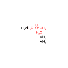 O.O.O.O.[AlH3].[AlH3].[AlH3]